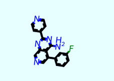 Nc1nc(-c2ccncc2)nc2cncc(-c3cccc(F)c3)c12